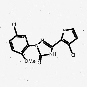 COc1ccc(Cl)cc1-n1nc(-c2sccc2Cl)[nH]c1=O